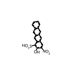 O=[N+]([O-])c1cc2cc3cc4ccccc4cc3cc2c(S(=O)(=O)O)c1O